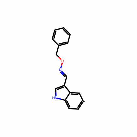 [c]1ccc2[nH]cc(C=NOCc3ccccc3)c2c1